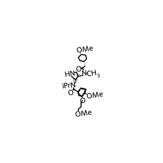 COCCCOc1cc(C(=O)N(C[C@@H]2CNC[C@H]2CN(C)C(=O)C[C@H]2CC[C@@H](OC)CC2)C(C)C)ccc1OC